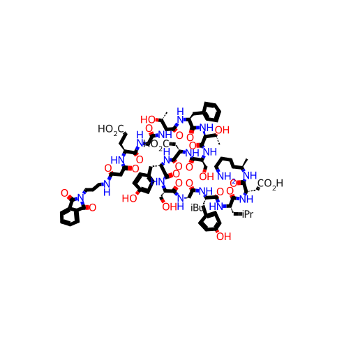 CC[C@H](C)[C@H](NC(=O)[C@H](CO)NC(=O)[C@H](Cc1ccc(O)cc1)NC(=O)[C@H](CC(=O)O)NC(=O)[C@H](CO)NC(=O)[C@@H](NC(=O)[C@H](Cc1ccccc1)NC(=O)[C@@H](NC(=O)CNC(=O)[C@H](CCC(=O)O)NC(=O)CC(=O)NCCCN1C(=O)c2ccccc2C1=O)[C@@H](C)O)[C@@H](C)O)C(=O)N[C@@H](Cc1ccc(O)cc1)C(=O)N[C@@H](CC(C)C)C(=O)N[C@@H](CC(=O)O)C(=O)N[C@H](C)CCCCN